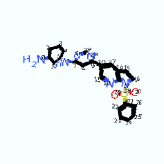 NC1CCCC(Nc2cc(-c3cnc4c(ccn4S(=O)(=O)c4ccccc4)c3)ncn2)C1